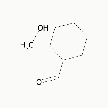 CO.O=CC1CCCCC1